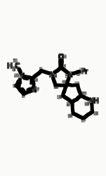 CC(C)N1C(=O)N(Cc2nccn2C)CC12CC1CCCNC1C2